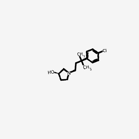 CC(C)(CCN1CC[C@@H](O)C1)c1ccc(Cl)cc1